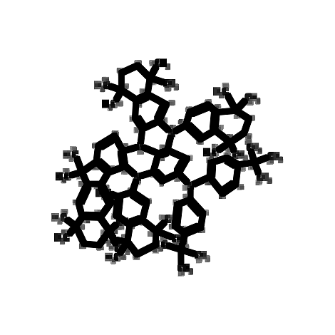 Cc1cc2c(cc1N1c3cc(N(c4ccc(C(C)(C)C)cc4)c4ccc(C(C)(C)C)cc4)cc4c3B(c3cc5c(cc3N4c3ccc4c(c3)C(C)(C)CCC4(C)C)C(C)(C)CCC5(C)C)c3ccc4c(c31)-c1cc3c(cc1C4(C)C)C(C)(C)CCC3(C)C)C(C)(C)CCC2(C)C